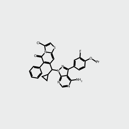 CC(C)Oc1ccc(-c2nn(C(c3cc4scc(Cl)n4c(=O)c3-c3ccccc3)C3CC3)c3ncnc(N)c23)cc1F